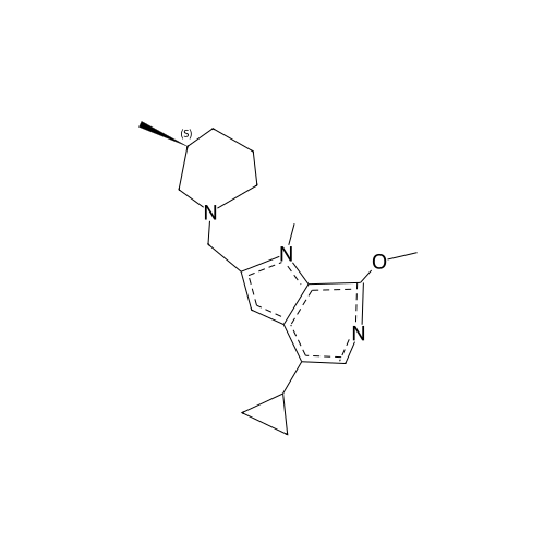 COc1ncc(C2CC2)c2cc(CN3CCC[C@H](C)C3)n(C)c12